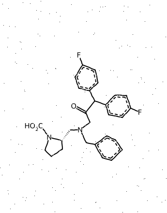 O=C(CN(Cc1ccccc1)C[C@@H]1CCCN1C(=O)O)C(c1ccc(F)cc1)c1ccc(F)cc1